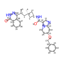 C[C@@H](C[C@]1(C)C[C@@H](NC(=O)c2cnc3cc(OCc4ccccc4)ccn23)C1)c1n[nH]c(=O)c2ccccc12